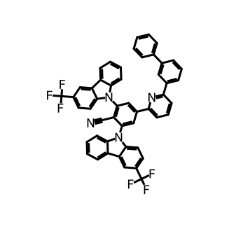 N#Cc1c(-n2c3ccccc3c3cc(C(F)(F)F)ccc32)cc(-c2cccc(-c3cccc(-c4ccccc4)c3)n2)cc1-n1c2ccccc2c2cc(C(F)(F)F)ccc21